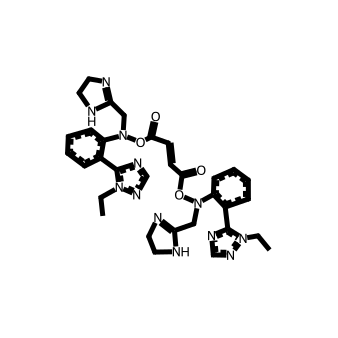 CCn1ncnc1-c1ccccc1N(CC1=NCCN1)OC(=O)/C=C/C(=O)ON(CC1=NCCN1)c1ccccc1-c1ncnn1CC